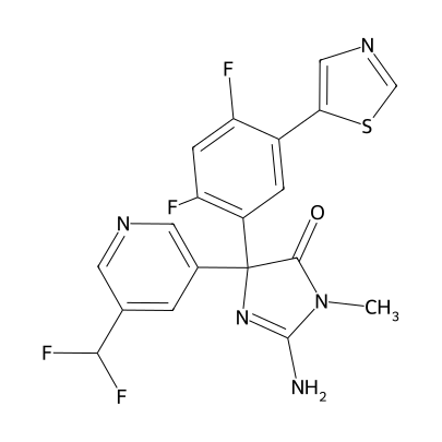 CN1C(=O)C(c2cncc(C(F)F)c2)(c2cc(-c3cncs3)c(F)cc2F)N=C1N